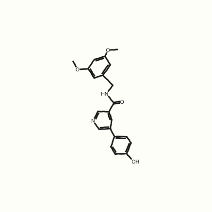 COc1cc(CNC(=O)c2cncc(-c3ccc(O)cc3)c2)cc(OC)c1